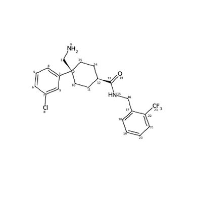 NC[C@]1(c2cccc(Cl)c2)CC[C@H](C(=O)NCc2ccccc2C(F)(F)F)CC1